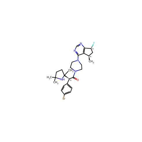 C[C@@H]1C[C@H](F)c2ncnc(N3CCN(C(=O)[C@@H](c4ccc(Br)cc4)C4(C)CCC(C)(C)N4)CC3)c21